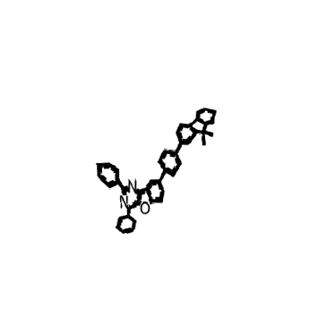 CC1(C)c2ccccc2-c2ccc(-c3ccc(-c4ccc5oc6c(C7C=CC=CC7)nc(-c7ccccc7)nc6c5c4)cc3)cc21